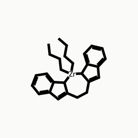 CCC[CH2][Zr]1([CH2]CCC)[CH]2C(=Cc3ccccc32)CCC2=Cc3ccccc3[CH]21